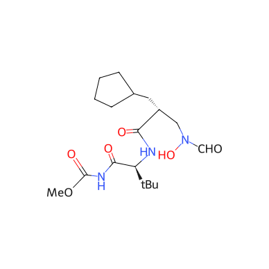 COC(=O)NC(=O)[C@@H](NC(=O)[C@H](CC1CCCC1)CN(O)C=O)C(C)(C)C